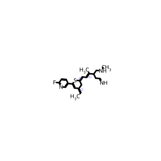 C/C=C1\C=C(c2ccc(F)nc2)S/C(=C/C=C(\C)C(CC=N)CNC)C1